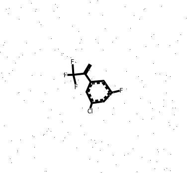 C=C(c1cc(F)cc(Cl)c1)C(F)(F)F